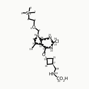 C[Si](C)(C)CCOCn1cc(I)c2c(O[C@H]3C[C@H](CNC(=O)O)C3)nc(Cl)nc21